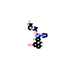 CCc1c(F)ccc2cc(O)cc(-c3c(F)cc4c(N5CC6CCC(C5)N6)nc(OCC5(CN6CCCC7(C6)CC7(F)F)CC5)nc4c3F)c12